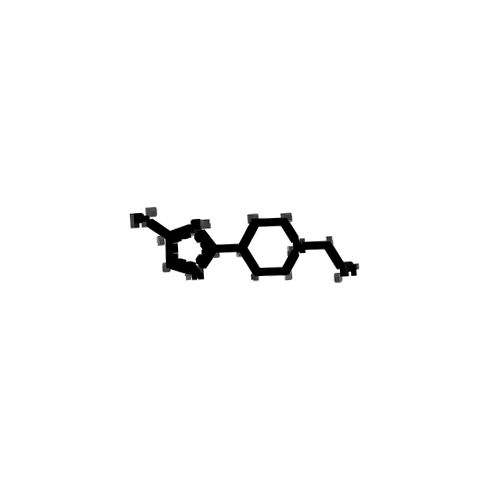 CC(C)CN1CCC(c2ncc(C(C)C)s2)CC1